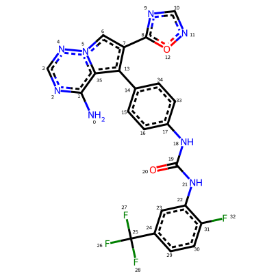 Nc1ncnn2cc(-c3ncno3)c(-c3ccc(NC(=O)Nc4cc(C(F)(F)F)ccc4F)cc3)c12